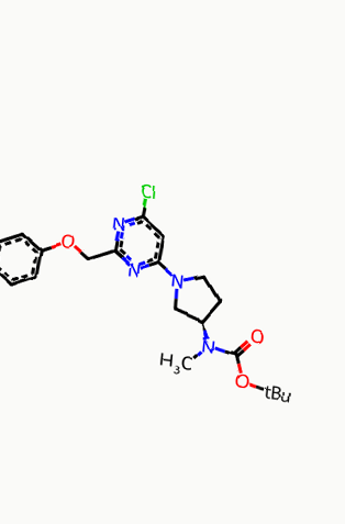 CN(C(=O)OC(C)(C)C)[C@@H]1CCN(c2cc(Cl)nc(COc3ccccc3)n2)C1